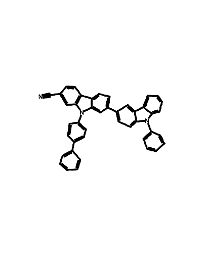 N#Cc1ccc2c3ccc(-c4ccc5c(c4)c4ccccc4n5-c4ccccc4)cc3n(-c3ccc(-c4ccccc4)cc3)c2c1